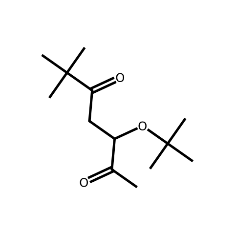 CC(=O)C(CC(=O)C(C)(C)C)OC(C)(C)C